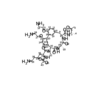 CC(=O)[C@H](C)NC(=O)[C@@H]1Cc2ccc(OCCN)c(c2)-c2cc(ccc2OCCN)[C@H](N(C)C(=O)[C@H](CCCCN)NS(C)(=O)=O)C(=O)N[C@@H](C)C(=O)N1